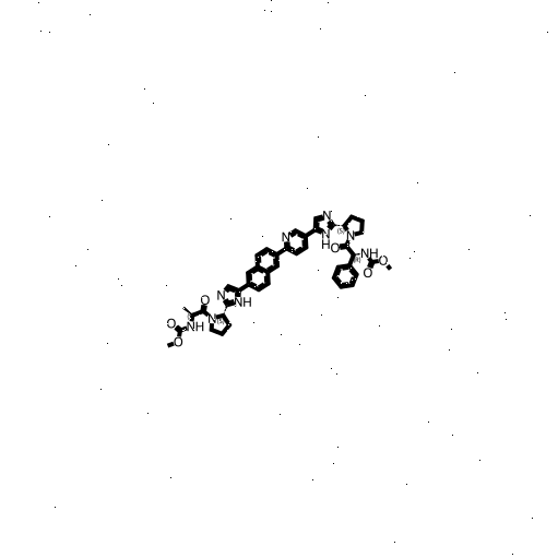 COC(=O)N[C@@H](C)C(=O)N1CCC[C@H]1c1ncc(-c2ccc3cc(-c4ccc(-c5cnc([C@@H]6CCCN6C(=O)[C@H](NC(=O)OC)c6ccccc6)[nH]5)cn4)ccc3c2)[nH]1